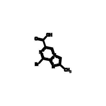 Cc1cn2cc(C(=O)O)nc(Br)c2n1